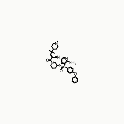 CN1CCC(C(C)(C)C=C(C#N)C(=O)N2CCCC(n3c(=O)n(-c4ccc(Oc5ccccc5)cc4)c4c(N)nccc43)C2)CC1